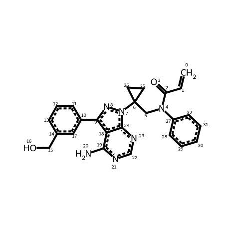 C=CC(=O)N(CC1(n2nc(-c3cccc(CO)c3)c3c(N)ncnc32)CC1)c1ccccc1